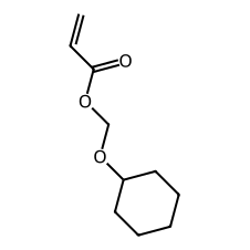 C=CC(=O)OCOC1CCCCC1